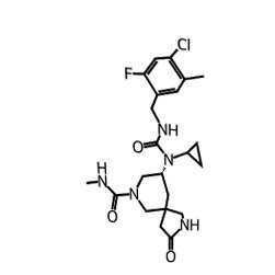 CNC(=O)N1C[C@H](N(C(=O)NCc2cc(C)c(Cl)cc2F)C2CC2)CC2(CNC(=O)C2)C1